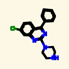 Clc1ccc2c(-c3ccccc3)nc(N3CCNCC3)nc2c1